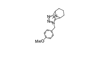 COc1ccc(Cn2nnc3c2C2CCCC3N2C)cc1